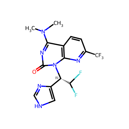 CN(C)c1nc(=O)n([C@@H](c2c[nH]cn2)C(F)F)c2nc(C(F)(F)F)ccc12